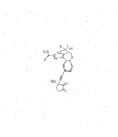 CN1CC[C@@](O)(C#Cc2ccc3c(c2)-c2nc(C(N)=O)sc2[C@@](O)(C(F)(F)F)CO3)C1=O